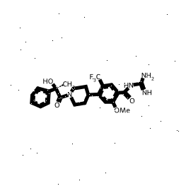 COc1cc(C2CCN(C(=O)[C@](C)(O)c3ccccc3)CC2)c(C(F)(F)F)cc1C(=O)NC(=N)N